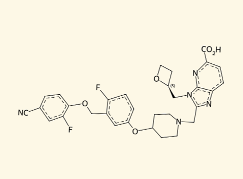 N#Cc1ccc(OCc2cc(OC3CCN(Cc4nc5ccc(C(=O)O)nc5n4C[C@@H]4CCO4)CC3)ccc2F)c(F)c1